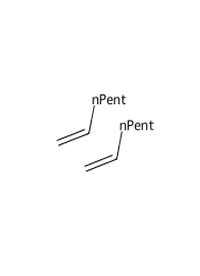 C=CCCCCC.C=CCCCCC